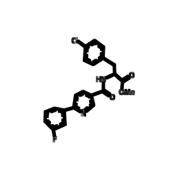 COC(=O)C(Cc1ccc(Cl)cc1)NC(=O)c1ccc(-c2cccc(F)c2)nc1